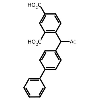 CC(=O)C(c1ccc(-c2ccccc2)cc1)c1ccc(C(=O)O)cc1C(=O)O